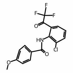 COc1ccc(C(=O)Nc2c(Cl)cccc2C(=O)C(F)(F)F)cc1